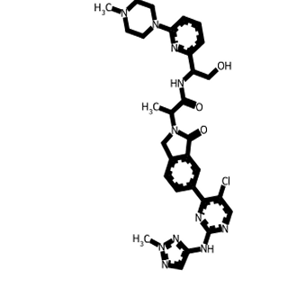 CC(C(=O)NC(CO)c1cccc(N2CCN(C)CC2)n1)N1Cc2ccc(-c3nc(Nc4cnn(C)n4)ncc3Cl)cc2C1=O